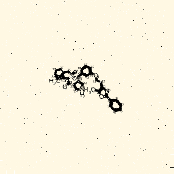 Cc1oc(-c2ccccc2)nc1CCOc1cccc(C[C@H]2CNC[C@H]2C(=O)N2C3CC4CC[C@]3(CS2(=O)=O)C4(C)C)c1